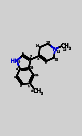 Cc1ccc2[nH]cc(C3=CCN(C)CC3)c2c1